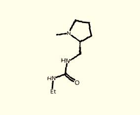 CCNC(=O)NC[C@@H]1CCCN1C